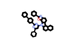 C1=CCC(c2cc(-n3c4ccc5ccccc5c4c4ccc5nc(-c6ccccc6)oc5c43)nc(-c3ccc(-c4ccccc4)cc3)n2)C=C1